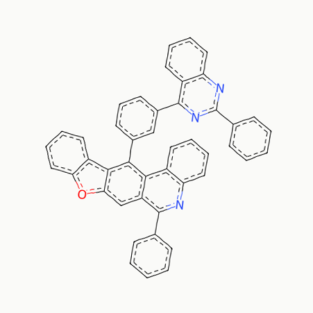 c1ccc(-c2nc(-c3cccc(-c4c5c(cc6c(-c7ccccc7)nc7ccccc7c46)oc4ccccc45)c3)c3ccccc3n2)cc1